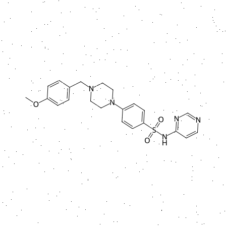 COc1ccc(CN2CCN(c3ccc(S(=O)(=O)Nc4ccncn4)cc3)CC2)cc1